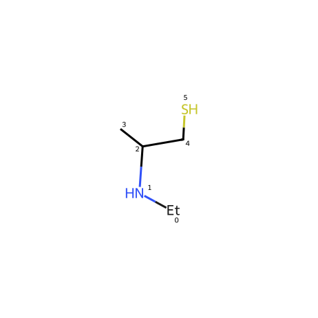 CCNC(C)CS